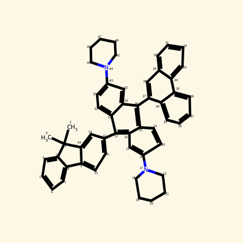 CC1(C)c2ccccc2-c2ccc(-c3c4cc(N5CCCCC5)ccc4c(-c4cc5ccccc5c5ccccc45)c4cc(N5CCCCC5)ccc34)cc21